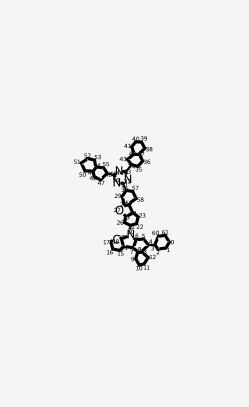 c1ccc(-c2cc3c(c4ccccc24)c2ccccc2n3-c2ccc3c(c2)oc2cc(-c4nc(-c5ccc6ccccc6c5)nc(-c5ccc6ccccc6c5)n4)ccc23)cc1